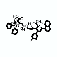 CC(C)c1nc(-c2cccc3ccccc23)cc(-c2ccc(F)cc2)c1C#CCO[PH](=O)CC(CC(=O)O)O[Si](c1ccccc1)(c1ccccc1)C(C)(C)C